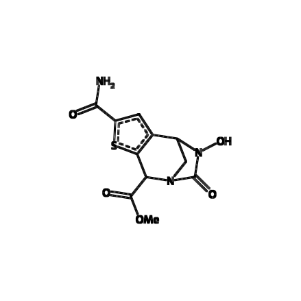 COC(=O)C1c2sc(C(N)=O)cc2C2CN1C(=O)N2O